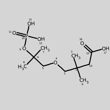 CC(C)(COCC(C)(C)OP(=O)(O)O)CC(=O)O